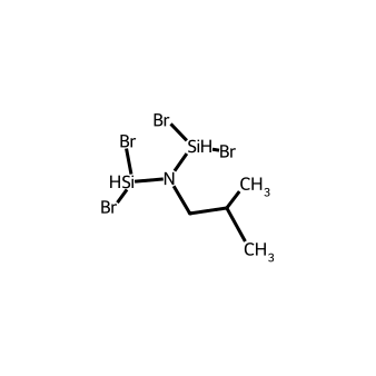 CC(C)CN([SiH](Br)Br)[SiH](Br)Br